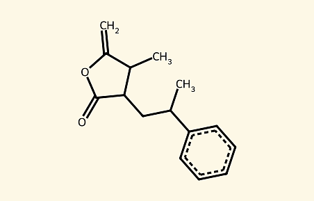 C=C1OC(=O)C(CC(C)c2ccccc2)C1C